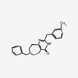 Cc1cccc(Cc2nc3c(c(=O)[nH]2)CCN(Cc2ccccc2)CC3)c1